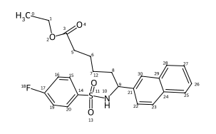 CCOC(=O)CCCCC(NS(=O)(=O)c1ccc(F)cc1)c1ccc2ccccc2c1